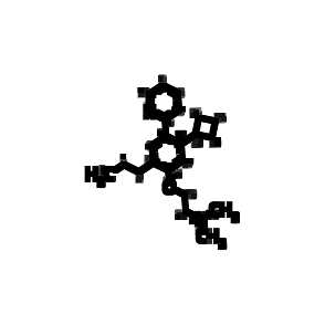 CCCc1cc(-c2ccc[c]n2)c(C2CCC2)cc1OCCN(C)C